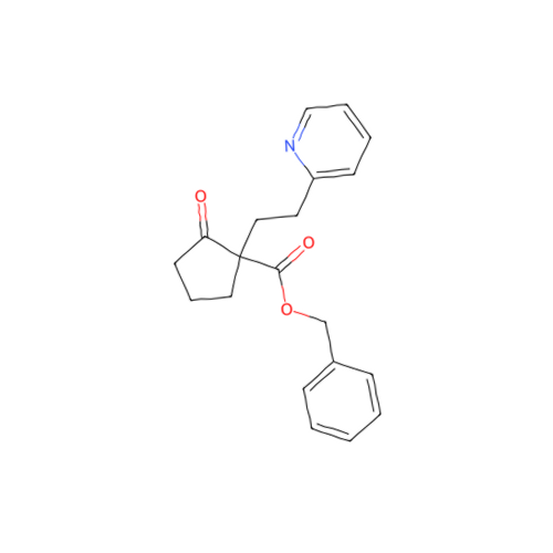 O=C1CCCC1(CCc1ccccn1)C(=O)OCc1ccccc1